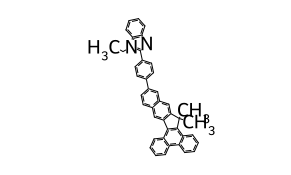 CCn1c(-c2ccc(-c3ccc4cc5c(cc4c3)C(C)(C)c3c-5c4ccccc4c4ccccc34)cc2)nc2ccccc21